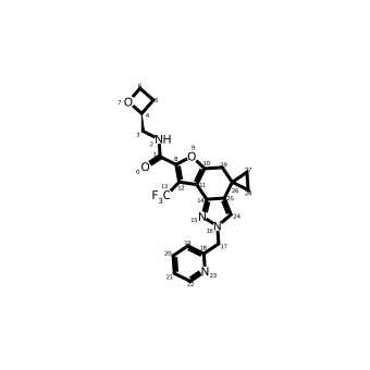 O=C(NC[C@@H]1CCO1)c1oc2c(c1C(F)(F)F)-c1nn(Cc3ccccn3)cc1C1(CC1)C2